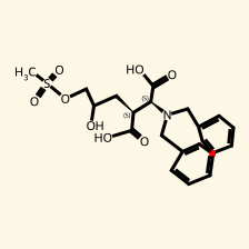 CS(=O)(=O)OCC(O)C[C@H](C(=O)O)[C@@H](C(=O)O)N(Cc1ccccc1)Cc1ccccc1